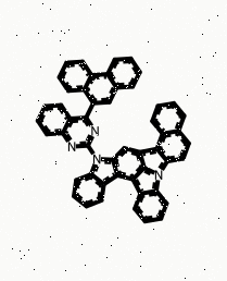 c1ccc2c(c1)cc(-c1nc(-n3c4ccccc4c4c5c6ccccc6n6c7ccc8ccccc8c7c(cc43)c56)nc3ccccc13)c1ccccc12